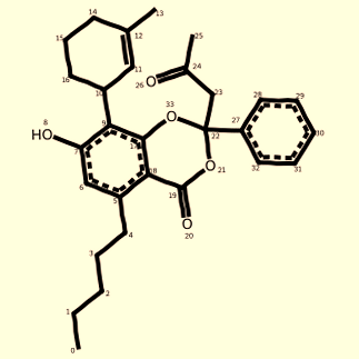 CCCCCc1cc(O)c(C2C=C(C)CCC2)c2c1C(=O)OC(CC(C)=O)(c1ccccc1)O2